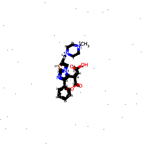 CN1CCN(Cc2cn3c(/C(=C\C(=O)O)C(=O)O)c(-c4ccccc4)nc3s2)CC1